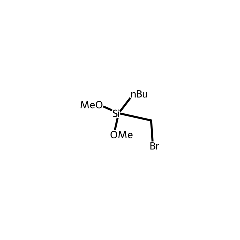 CCCC[Si](CBr)(OC)OC